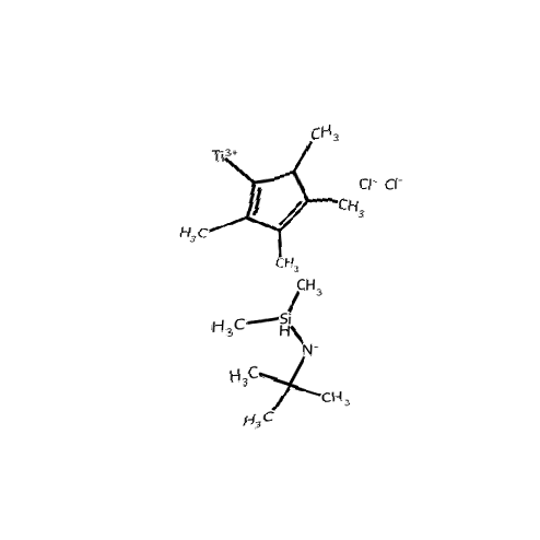 CC1=C(C)C(C)[C]([Ti+3])=C1C.C[SiH](C)[N-]C(C)(C)C.[Cl-].[Cl-]